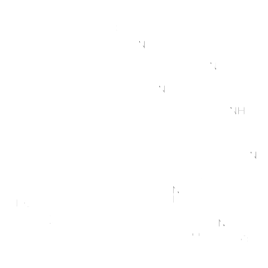 [C-]#[N+]c1cnc(Nc2cc(NCc3ccc(OC)cc3)c([N+](=O)[O-])cn2)cn1